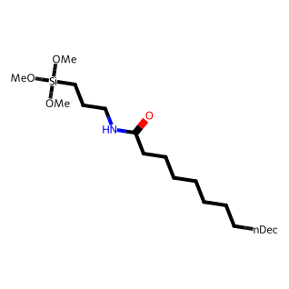 CCCCCCCCCCCCCCCCCC(=O)NCCC[Si](OC)(OC)OC